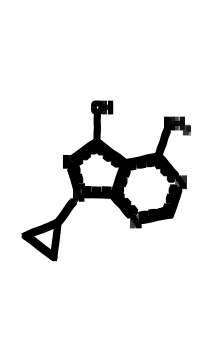 Nc1ncnc2c1c(O)nn2C1CC1